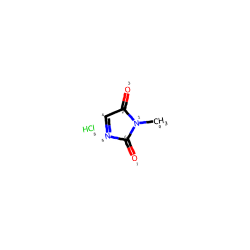 CN1C(=O)C=NC1=O.Cl